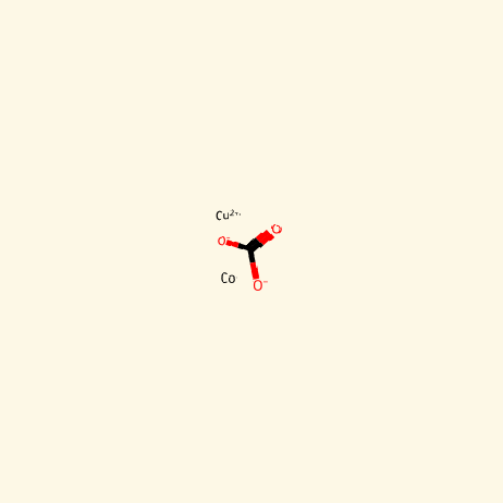 O=C([O-])[O-].[Co].[Cu+2]